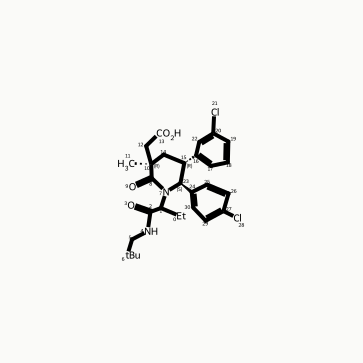 CCC(C(=O)NCC(C)(C)C)N1C(=O)[C@@](C)(CC(=O)O)C[C@H](c2cccc(Cl)c2)[C@H]1c1ccc(Cl)cc1